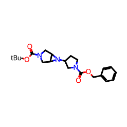 CC(C)(C)OC(=O)N1CC2C(C1)N2C1CCN(C(=O)OCc2ccccc2)C1